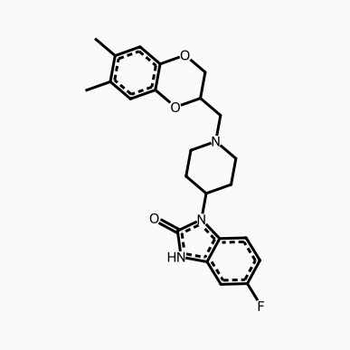 Cc1cc2c(cc1C)OC(CN1CCC(n3c(=O)[nH]c4cc(F)ccc43)CC1)CO2